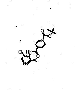 CC(C)(C)OC(=O)N1CCC(C(=O)Nc2c(Cl)cncc2Cl)CC1